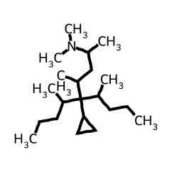 CCCC(C)C(C(C)CCC)(C(C)CC(C)N(C)C)C1CC1